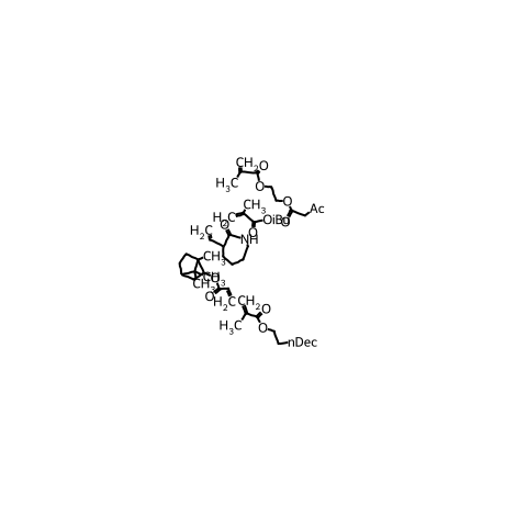 C=C(C)C(=O)OCC(C)C.C=C(C)C(=O)OCCCCCCCCCCCC.C=C(C)C(=O)OCCOC(=O)CC(C)=O.C=CC(=O)OC1CC2CCC1(C)C2(C)C.C=CC1CCCCNC1=O